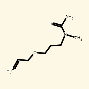 C=CCOCCCN(C)C(N)=S